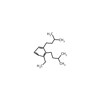 C[CH]c1cccc(CCC(C)C)c1CCC(C)C